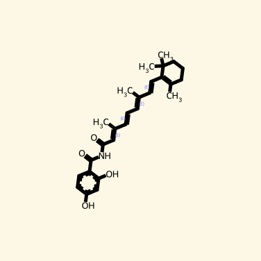 CC1=C(/C=C/C(C)=C/C=C/C(C)=C/C(=O)NC(=O)c2ccc(O)cc2O)C(C)(C)CCC1